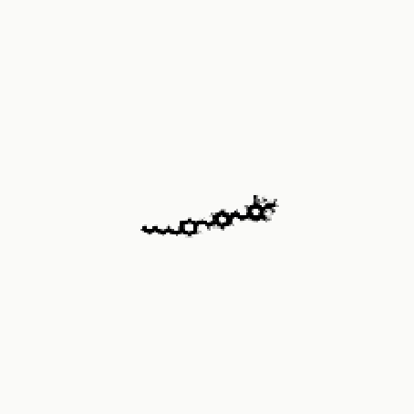 CCCCCCC1CCC(CCC2CCC(CCc3cc(F)c(C(F)(F)F)c(F)c3)CC2)CC1